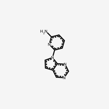 Nc1cccc(-n2ccc3cncnc32)n1